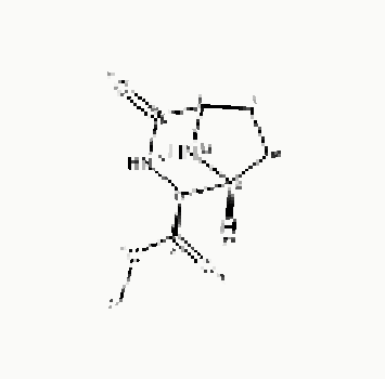 COC(=O)[C@H]1NC(=O)C2CC[C@H]1N2